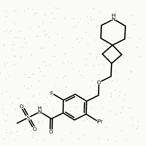 CC(C)c1cc(C(=O)NS(C)(=O)=O)c(F)cc1COCC1CC2(CCNCC2)C1